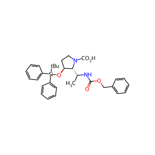 CC(NC(=O)OCc1ccccc1)[C@@H]1[C@@H](O[Si](c2ccccc2)(c2ccccc2)C(C)(C)C)CCN1C(=O)O